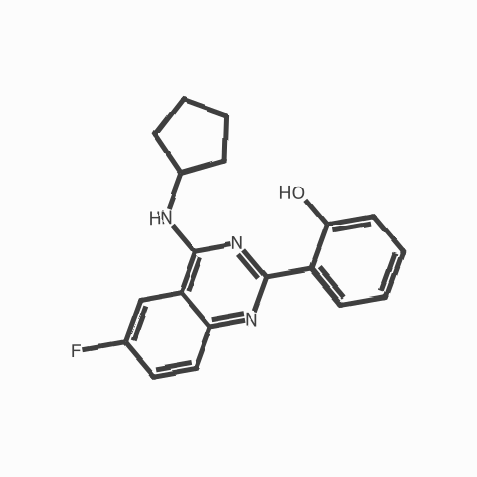 Oc1ccccc1-c1nc(NC2CCCC2)c2cc(F)ccc2n1